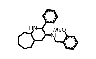 COc1ccccc1CNC1CC2CCCCCC2NC1c1ccccc1